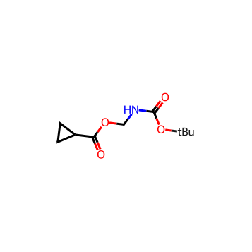 CC(C)(C)OC(=O)NCOC(=O)C1CC1